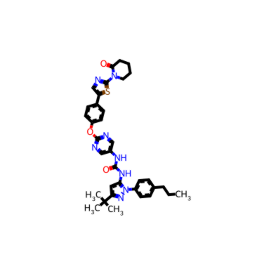 CCCc1ccc(-n2nc(C(C)(C)C)cc2NC(=O)Nc2cnc(Oc3ccc(-c4cnc(N5CCCCC5=O)s4)cc3)nc2)cc1